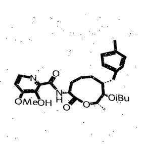 COc1ccnc(C(=O)N[C@H]2CCC[C@H](Cc3ccc(C)cc3)[C@@H](OCC(C)C)[C@H](C)OC2=O)c1O